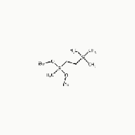 CCC(C)O[Si](C)(CC[Si](C)(C)C)OC(C)CC